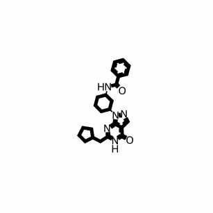 O=C(N[C@H]1CCC[C@@H](n2ncc3c(=O)[nH]c(CC4CCCC4)nc32)C1)c1ccccc1